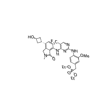 CCOP(=O)(Cc1ccc(Nc2ncc(C(F)(F)F)c(Nc3ccc([C@H]4C[C@H](O)C4)c4c3C(=O)N(C)C4)n2)c(OC)c1)OCC